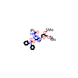 CSCOC1CC(n2cnc3c(OC(=O)N(c4ccccc4)c4ccccc4)nc(NC(=O)C(C)C)nc32)OC1CO[Si](C)(C)C(C)(C)C